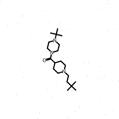 CC(C)(C)CCN1CCC(C(=O)N2CCN(C(C)(C)C)CC2)CC1